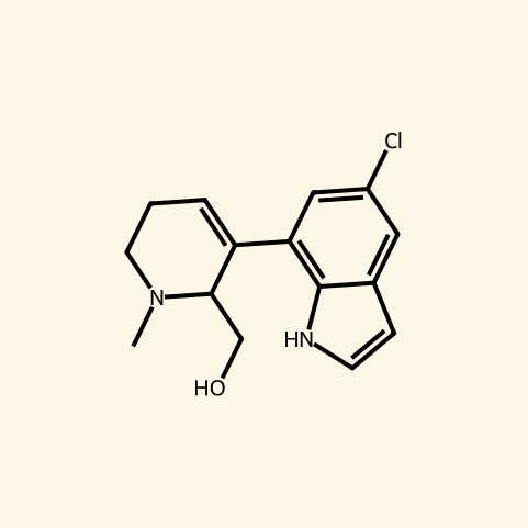 CN1CCC=C(c2cc(Cl)cc3cc[nH]c23)C1CO